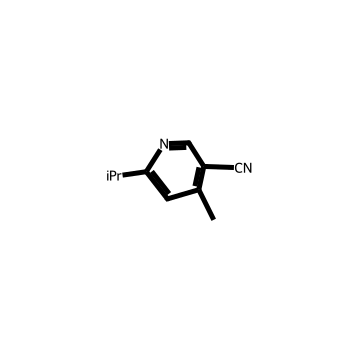 Cc1cc(C(C)C)ncc1C#N